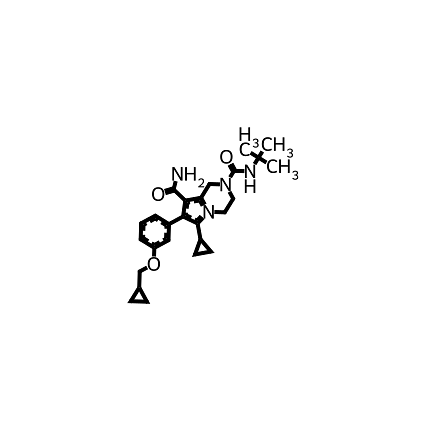 CC(C)(C)NC(=O)N1CCn2c(c(C(N)=O)c(-c3cccc(OCC4CC4)c3)c2C2CC2)C1